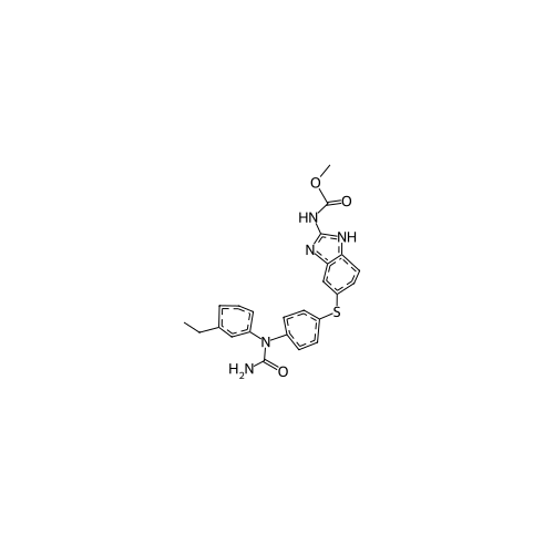 CCc1cccc(N(C(N)=O)c2ccc(Sc3ccc4[nH]c(NC(=O)OC)nc4c3)cc2)c1